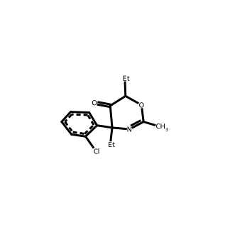 CCC1OC(C)=NC(CC)(c2ccccc2Cl)C1=O